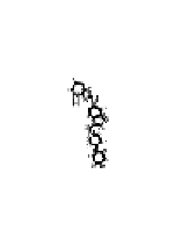 C1=Cc2sc(Oc3ccc4c(CN5CCC(c6ccccc6)CC5)coc4c3)nc2NC1